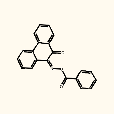 O=C(ON=C1C(=O)c2ccccc2-c2ccccc21)c1ccccc1